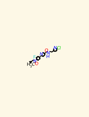 CC(=O)N(CC1CC1)c1ccc(-c2ccc(C(=O)NCCc3ccc(Cl)nc3)cn2)cc1F